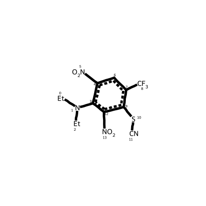 CCN(CC)c1c([N+](=O)[O-])cc(C(F)(F)F)c(SC#N)c1[N+](=O)[O-]